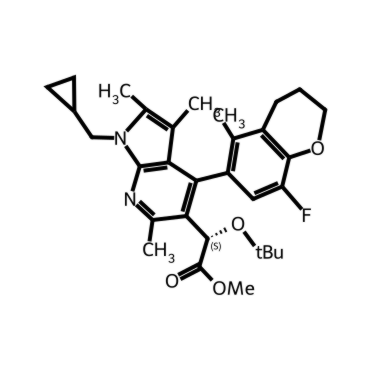 COC(=O)[C@@H](OC(C)(C)C)c1c(C)nc2c(c(C)c(C)n2CC2CC2)c1-c1cc(F)c2c(c1C)CCCO2